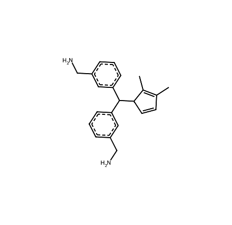 CC1=C(C)[C](C(c2cccc(CN)c2)c2cccc(CN)c2)C=C1